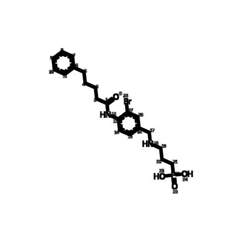 O=C(CCCCc1ccccc1)Nc1ccc(CNCCCP(=O)(O)O)cc1Br